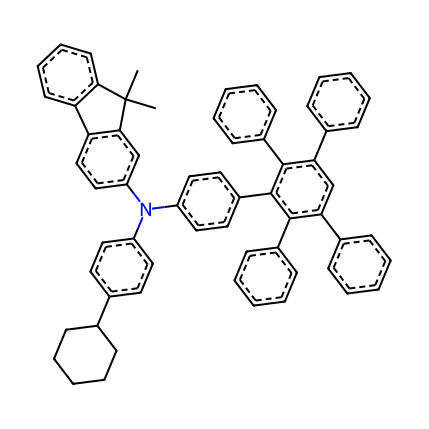 CC1(C)c2ccccc2-c2ccc(N(c3ccc(-c4c(-c5ccccc5)c(-c5ccccc5)cc(-c5ccccc5)c4-c4ccccc4)cc3)c3ccc(C4CCCCC4)cc3)cc21